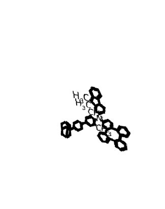 Cc1cc(-c2ccc(C34CC5CC(CC(C5)C3)C4)cc2)cc(C)c1N(c1ccc2c(c1)-c1ccccc1-c1ccccc1-c1ccccc1-2)c1ccc2c(c1)C(C)(C)c1ccccc1-2